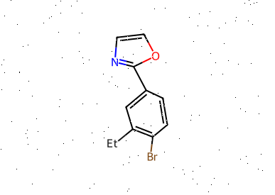 CCc1cc(-c2ncco2)ccc1Br